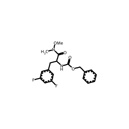 CON(C)C(=O)C(Cc1cc(F)cc(F)c1)NC(=O)OCc1ccccc1